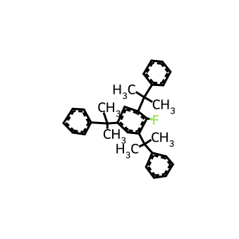 CC(C)(c1ccccc1)c1cc(C(C)(C)c2ccccc2)c(F)c(C(C)(C)c2ccccc2)c1